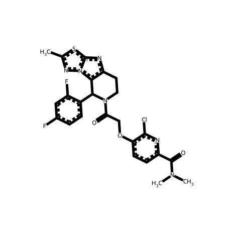 Cc1nn2c3c(nc2s1)CCN(C(=O)COc1ccc(C(=O)N(C)C)nc1Cl)C3c1ccc(F)cc1F